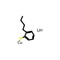 CCCCc1ccccc1[S][Cu].[LiH]